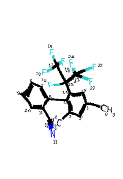 Cc1[c]c(C)c(-c2ccccc2C#N)c(C(F)(C(F)(F)F)C(F)(F)F)c1